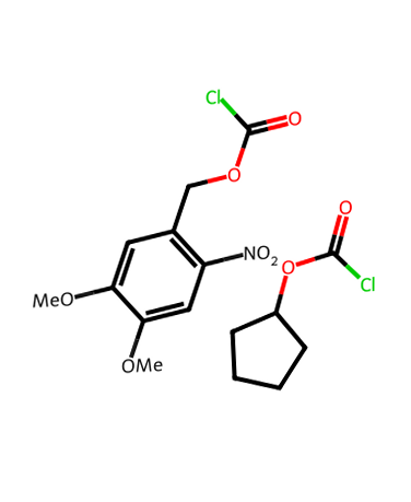 COc1cc(COC(=O)Cl)c([N+](=O)[O-])cc1OC.O=C(Cl)OC1CCCC1